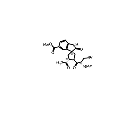 CN[C@@H](CC(C)C)C(=O)N1C[C@]2(C[C@H]1C(N)=O)C(=O)Nc1ccc(C(=O)OC)cc12